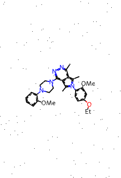 CCOc1ccc(-n2c(C)c3c(C)nnc(N4CCN(c5ccccc5OC)CC4)c3c2C)c(OC)c1